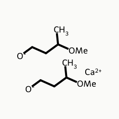 COC(C)CC[O-].COC(C)CC[O-].[Ca+2]